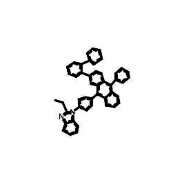 CCc1nc2ccccc2n1-c1ccc(-c2c3ccccc3c(-c3ccccc3)c3ccc(-c4ccccc4-c4ccccc4)cc23)cc1